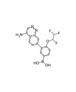 Nc1cnnc2cc(-c3cc(B(O)O)ccc3OC(F)C(F)F)ccc12